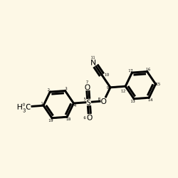 Cc1ccc(S(=O)(=O)OC(C#N)c2ccccc2)cc1